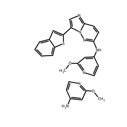 COc1cc(N)ccn1.COc1cc(Nc2ccc3ncc(-c4cc5ccccc5s4)n3n2)ccn1